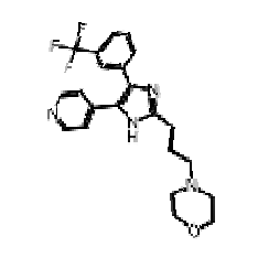 FC(F)(F)c1cccc(-c2nc(CCCN3CCOCC3)[nH]c2-c2ccncc2)c1